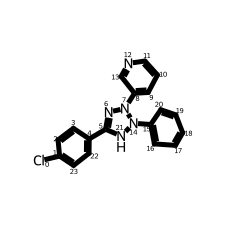 Clc1ccc(C2=NN(c3cccnc3)N(c3ccccc3)N2)cc1